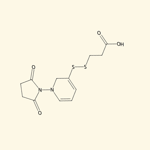 O=C(O)CCSSC1=CC=CN(N2C(=O)CCC2=O)C1